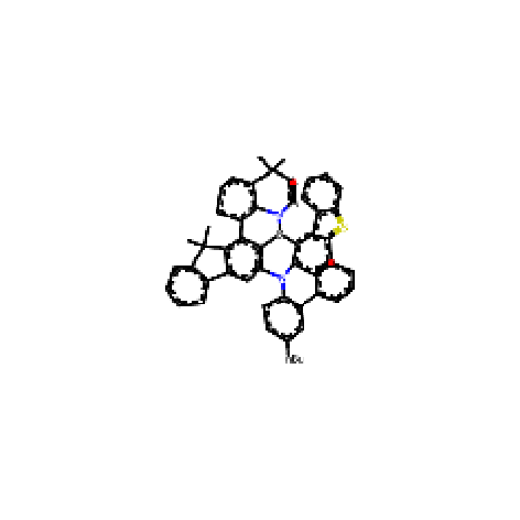 CCCCc1ccc(N2c3cc4c(c5c3B(c3c2ccc2sc6ccccc6c32)N2c3ccccc3C(C)(C)c3cccc-5c32)C(C)(C)c2ccccc2-4)c(-c2ccccc2)c1